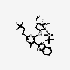 Cc1nc(NCC(F)(F)F)nc(N[C@@H]2C[C@H](CO)[C@@](C)(O)[C@H]2O[Si](C)(C)C(C)(C)C)c1-c1nc2ccccc2s1